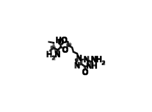 CC[C@H](C)[C@H](N)C(=O)O[C@@H](CO)CCCn1cnc2c(=O)[nH]c(N)nc21